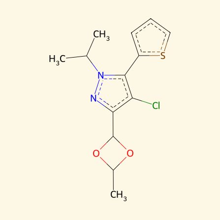 CC1OC(c2nn(C(C)C)c(-c3cccs3)c2Cl)O1